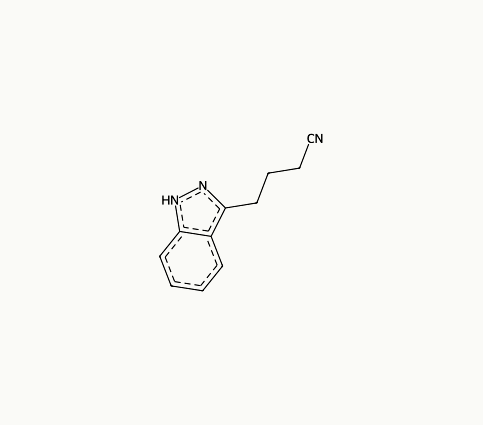 N#CCCCc1n[nH]c2ccccc12